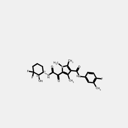 Cc1cc(NC(=O)c2c(C)c(C(=O)C(=O)N[C@H]3CCCC(F)(F)[C@@H]3O)n(C)c2C)ccc1F